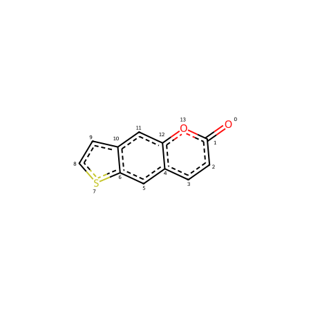 O=c1ccc2cc3sccc3cc2o1